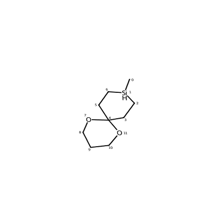 C[SiH]1CCC2(CC1)OCCCO2